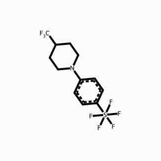 FC(F)(F)C1CCN(c2ccc(S(F)(F)(F)(F)F)cc2)CC1